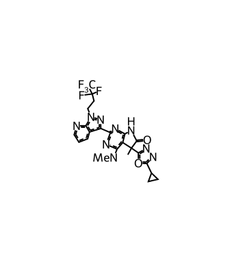 CNc1nc(-c2nn(CCC(F)(F)C(F)(F)F)c3ncccc23)nc2c1C(C)(c1nnc(C3CC3)o1)C(=O)N2